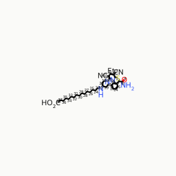 CCc1c(C#N)c(SC(C(N)=O)c2ccccc2)nc(N2CCC(NCCCCCCCCCCCCCCCC(=O)O)CC2)c1C#N